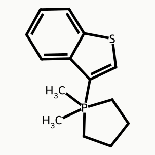 CP1(C)(c2csc3ccccc23)CCCC1